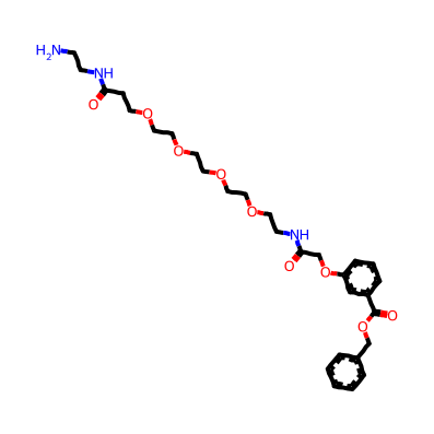 NCCNC(=O)CCOCCOCCOCCOCCNC(=O)COc1cccc(C(=O)OCc2ccccc2)c1